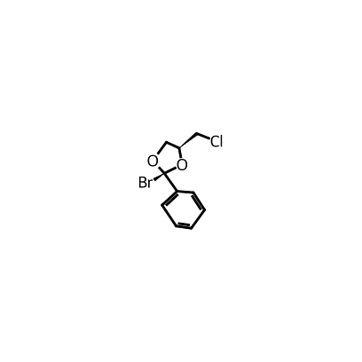 ClC[C@@H]1CO[C@@](Br)(c2ccccc2)O1